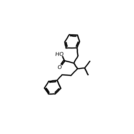 CC(C)C(CCc1ccccc1)C(Cc1ccccc1)C(=O)O